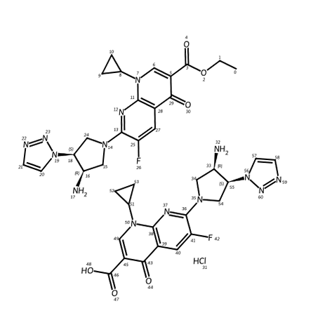 CCOC(=O)c1cn(C2CC2)c2nc(N3C[C@@H](N)[C@@H](n4ccnn4)C3)c(F)cc2c1=O.Cl.N[C@@H]1CN(c2nc3c(cc2F)c(=O)c(C(=O)O)cn3C2CC2)C[C@@H]1n1ccnn1